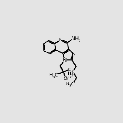 CCSCc1nc2c(N)nc3ccccc3c2n1CC(C)(C)O